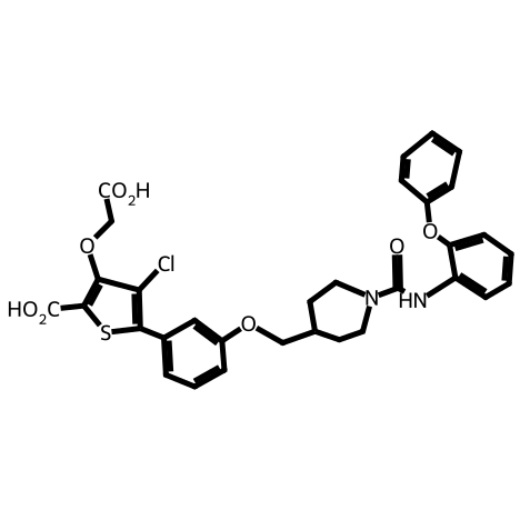 O=C(O)COc1c(C(=O)O)sc(-c2cccc(OCC3CCN(C(=O)Nc4ccccc4Oc4ccccc4)CC3)c2)c1Cl